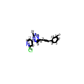 Cc1cccc(C#Cc2cn(-c3ccnc(Cl)c3)c(C)n2)c1